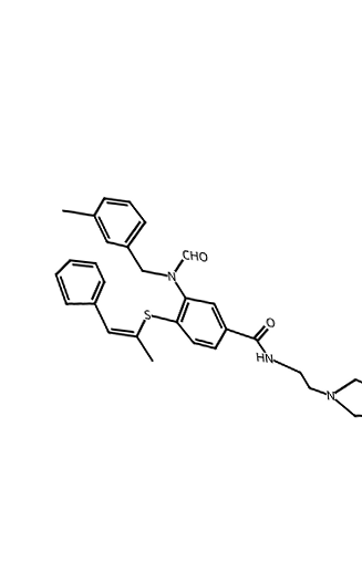 C/C(=C/c1ccccc1)Sc1ccc(C(=O)NCCN2CCCC2)cc1N(C=O)Cc1cccc(C)c1